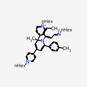 C\C=C/C(=C\C=N\CCCCCC)N1C(c2ccc(C)cc2)=CC(c2cc[n+](CCCCCC)cc2)=CC1(C)c1cc[n+](CCCCCC)cc1